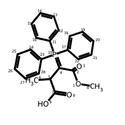 COC(=O)C(C(C)C(=O)O)=P(c1ccccc1)(c1ccccc1)c1ccccc1